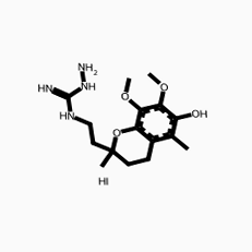 COc1c(O)c(C)c2c(c1OC)OC(C)(CCNC(=N)NN)CC2.I